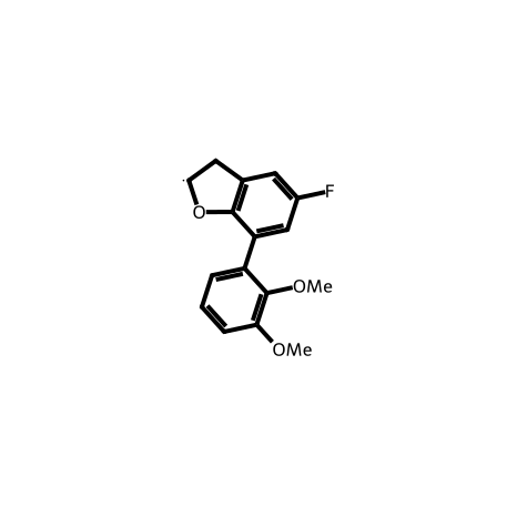 COc1cccc(-c2cc(F)cc3c2O[CH]C3)c1OC